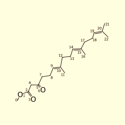 COC(=O)CC(=O)CC/C=C(\C)CC/C=C(\C)CCC=C(C)C